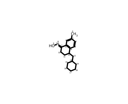 Cc1ccc2c(c1)/C(=N/O)CCC2CC1CCCCC1